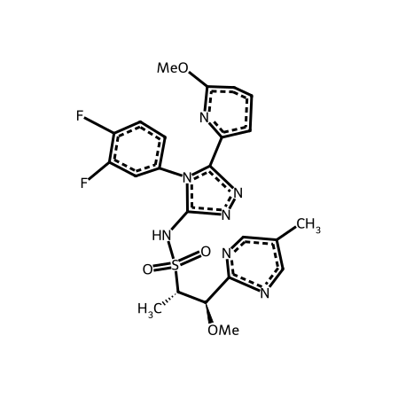 COc1cccc(-c2nnc(NS(=O)(=O)[C@@H](C)[C@H](OC)c3ncc(C)cn3)n2-c2ccc(F)c(F)c2)n1